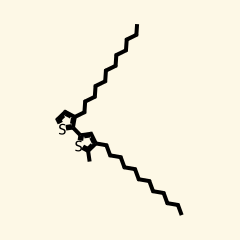 CCCCCCCCCCCCc1cc(-c2sccc2CCCCCCCCCCCC)sc1C